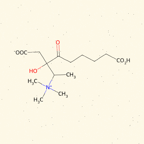 CC(C(O)(CC(=O)[O-])C(=O)CCCCC(=O)O)[N+](C)(C)C